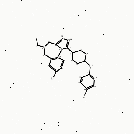 CCN1Cc2cc(Cl)ccc2-n2c(nnc2C2CCC(Oc3ccc(F)cn3)CC2)C1